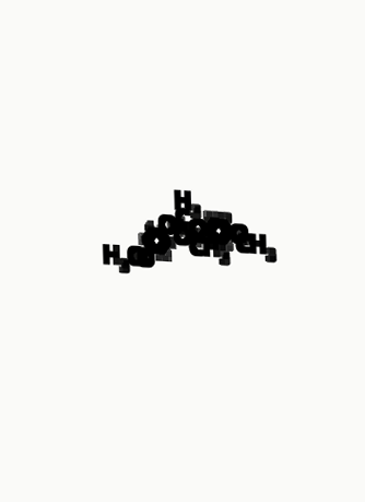 COc1ccc(OC(C)OC(C)Oc2ccc(OC)cc2)cc1